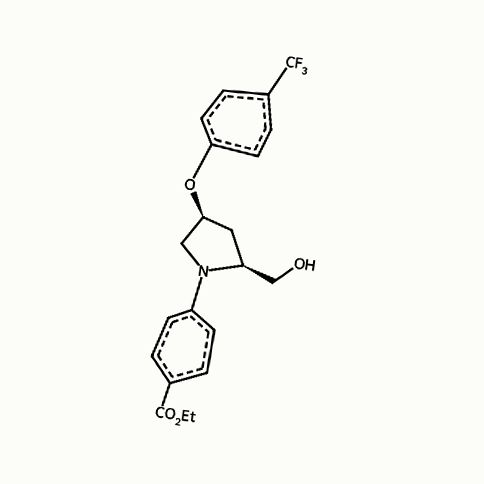 CCOC(=O)c1ccc(N2C[C@@H](Oc3ccc(C(F)(F)F)cc3)C[C@H]2CO)cc1